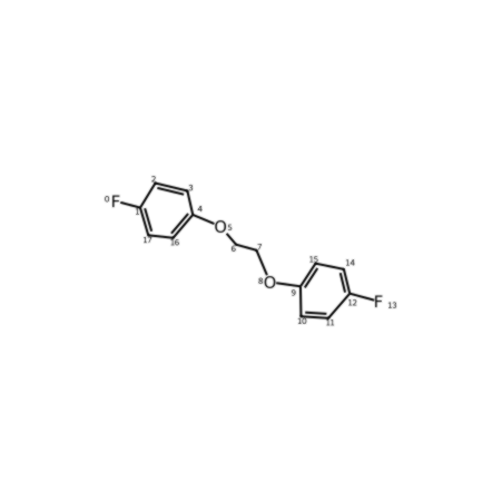 Fc1ccc(OCCOc2ccc(F)cc2)cc1